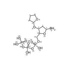 BC1CC(OC2CCCO2)C(COP(=O)(O)OP(=O)(O)OP(=O)(O)S)O1